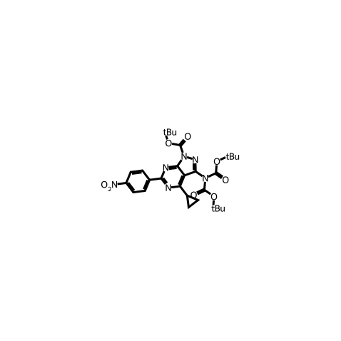 CC(C)(C)OC(=O)N(C(=O)OC(C)(C)C)c1nn(C(=O)OC(C)(C)C)c2nc(-c3ccc([N+](=O)[O-])cc3)nc(C3CC3)c12